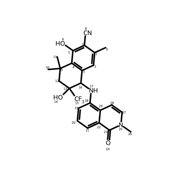 Cc1cc2c(c(O)c1C#N)C(C)(C)CC(O)(C(F)(F)F)C2Nc1cccc2c(=O)n(C)ccc12